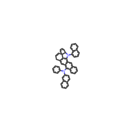 C1=CC2N(c3cccc4ccccc34)c3c4c(cc5c(N(c6ccccc6)c6ccc7ccccc7c6)c6ccccc6cc35)CC=CC42C=C1